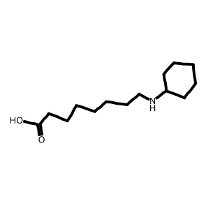 O=C(O)CCCCCCCNC1CCCCC1